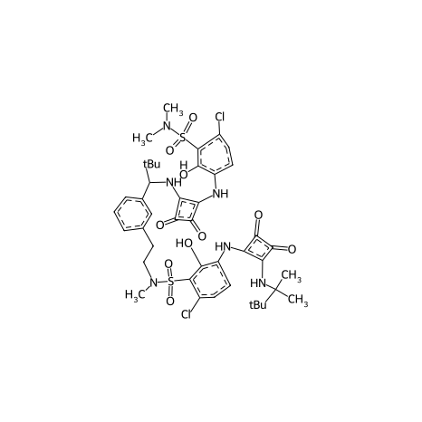 CN(C)S(=O)(=O)c1c(Cl)ccc(Nc2c(NC(c3cccc(CCN(C)S(=O)(=O)c4c(Cl)ccc(Nc5c(NC(C)(C)C(C)(C)C)c(=O)c5=O)c4O)c3)C(C)(C)C)c(=O)c2=O)c1O